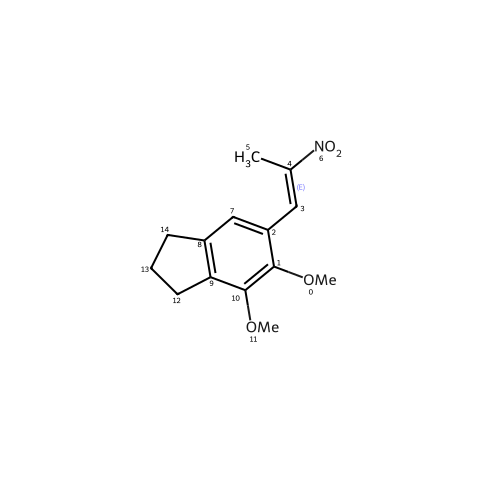 COc1c(/C=C(\C)[N+](=O)[O-])cc2c(c1OC)CCC2